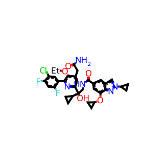 CCOc1c(CC(N)=O)cc([C@@](O)(CNC(=O)c2cc(OC3CC3)c3nn(C4CC4)cc3c2)C2CC2)nc1-c1cc(Cl)c(F)cc1F